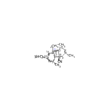 C/C=C1\[C@H](C)C=C(C)C[C@]1(C#N)c1ccc(OC)nc1C